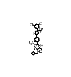 Cc1cc(C2=NCC(c3cc(Cl)cc(Cl)c3)(C(F)(F)F)C2)ccc1C(=O)N[C@@H]1CON(CC2CCC2)C1=O